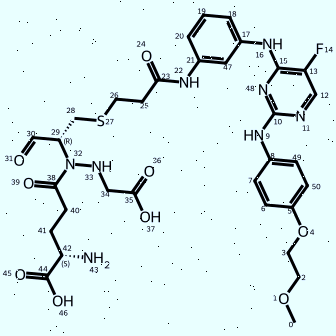 COCCOc1ccc(Nc2ncc(F)c(Nc3cccc(NC(=O)CCSC[C@@H](C=O)N(NCC(=O)O)C(=O)CC[C@H](N)C(=O)O)c3)n2)cc1